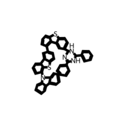 c1ccc(C2=NC(c3ccc4sc5cccc(-c6ccc7sc8c(-n9c%10ccccc%10c%10ccccc%109)cccc8c7c6)c5c4c3)NC(c3ccccc3)N2)cc1